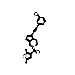 Cc1cc(C(=O)N2CCC3C(C#Cc4cccc(Cl)c4)=CC=C3C2)c(C)o1